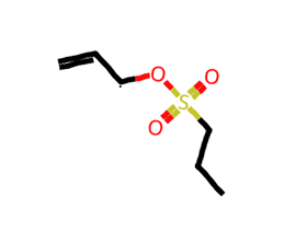 C=C[CH]OS(=O)(=O)CCC